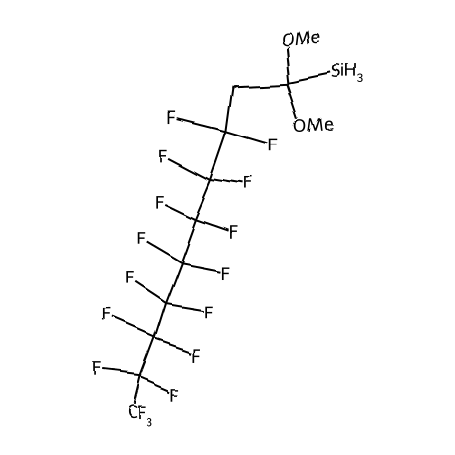 COC([SiH3])(CC(F)(F)C(F)(F)C(F)(F)C(F)(F)C(F)(F)C(F)(F)C(F)(F)C(F)(F)F)OC